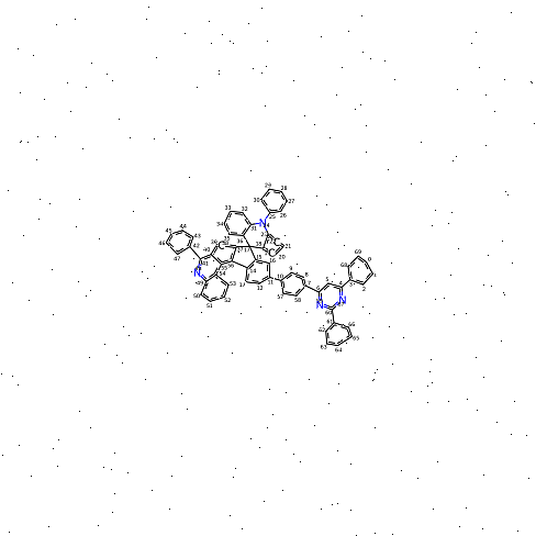 c1ccc(-c2cc(-c3ccc(-c4ccc5c(c4)C4(c6ccccc6N(c6ccccc6)c6ccccc64)c4ccc6c(-c7ccccc7)nc7ccccc7c6c4-5)cc3)nc(-c3ccccc3)n2)cc1